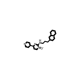 [O-][n+]1ccc(-c2ccncc2)nc1NCCCc1ccc2ccccc2c1